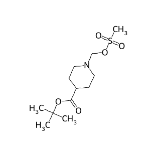 CC(C)(C)OC(=O)C1CCN(COS(C)(=O)=O)CC1